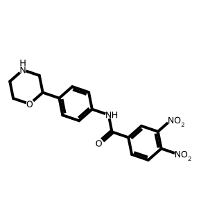 O=C(Nc1ccc(C2CNCCO2)cc1)c1ccc([N+](=O)[O-])c([N+](=O)[O-])c1